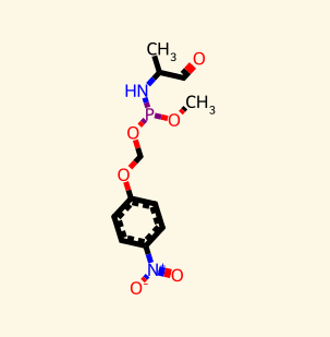 COP(NC(C)C=O)OCOc1ccc([N+](=O)[O-])cc1